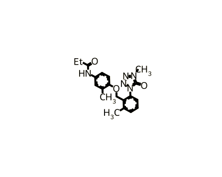 CCC(=O)Nc1ccc(OCc2c(C)cccc2-n2nnn(C)c2=O)c(C)c1